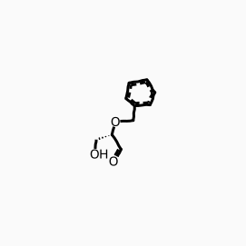 O=C[C@H](CO)OCc1ccccc1